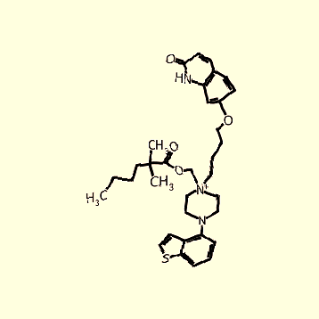 CCCCC(C)(C)C(=O)OC[N+]1(CCCCOc2ccc3ccc(=O)[nH]c3c2)CCN(c2cccc3sccc23)CC1